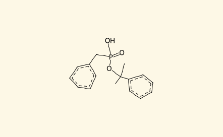 CC(C)(OP(=O)(O)Cc1ccccc1)c1ccccc1